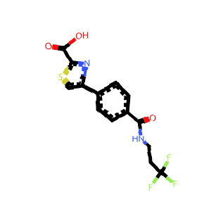 O=C(NCCC(F)(F)F)c1ccc(-c2csc(C(=O)O)n2)cc1